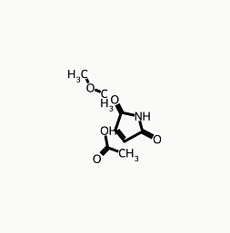 CC(=O)O.COC.O=C1C=CC(=O)N1